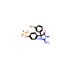 CN1C(=O)C(c2ccc(OS(C)(=O)=O)cc2)(c2cccc(Br)c2)NC1N